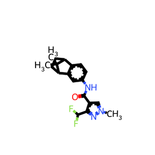 Cn1cc(C(=O)Nc2ccc3c(c2)C2CCC3C2(C)C)c(C(F)F)n1